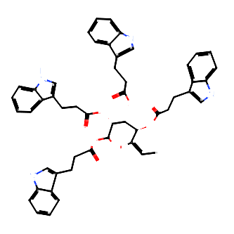 C/C=C(/C)[C@H](OC(=O)CCc1c[nH]c2ccccc12)[C@@H](OC(=O)CCc1c[nH]c2ccccc12)[C@@H](OC(=O)CCc1c[nH]c2ccccc12)C(O)OC(=O)CCc1c[nH]c2ccccc12